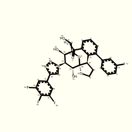 NC(=O)c1cccc(-c2cccc(F)c2)c1[C@H]1CCO[C@]12O[C@H](CO)[C@H](O)[C@H](n1cc(-c3cc(F)c(F)c(F)c3)nn1)[C@H]2O